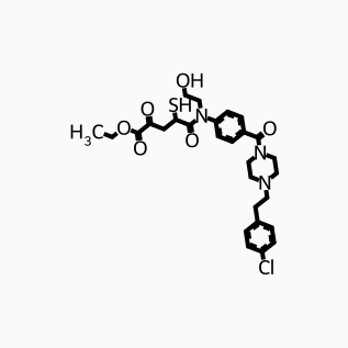 CCOC(=O)C(=O)CC(S)C(=O)N(CCO)c1ccc(C(=O)N2CCN(CCc3ccc(Cl)cc3)CC2)cc1